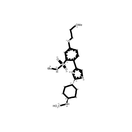 COCCOc1ccc(-c2cnc([C@H]3CC[C@H](NC(=O)O)CC3)s2)c(S(=O)(=O)NC(C)(C)C)c1